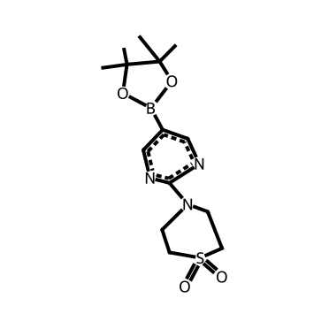 CC1(C)OB(c2cnc(N3CCS(=O)(=O)CC3)nc2)OC1(C)C